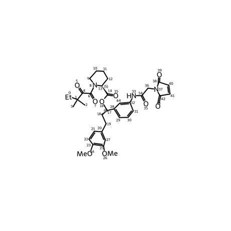 CCC(C)(C)C(=O)C(=O)N1CCCC[C@H]1C(=O)O[C@H](CCc1ccc(OC)c(OC)c1)c1cccc(NC(=O)CN2C(=O)C=CC2=O)c1